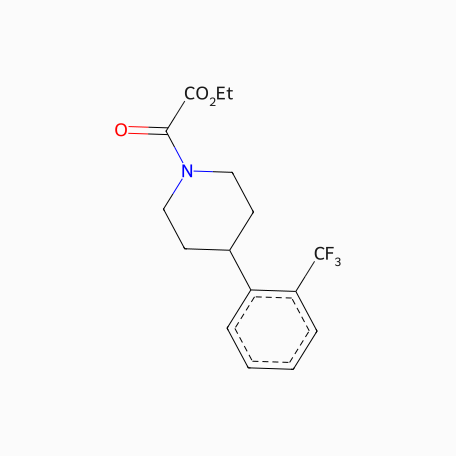 CCOC(=O)C(=O)N1CCC(c2ccccc2C(F)(F)F)CC1